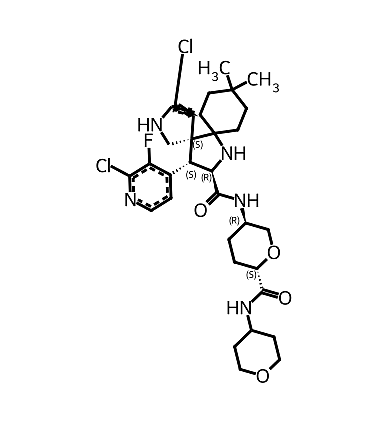 CC1(C)CCC2(CC1)N[C@@H](C(=O)N[C@@H]1CC[C@@H](C(=O)NC3CCOCC3)OC1)[C@H](c1ccnc(Cl)c1F)[C@]21CNc2cc(Cl)ccc21